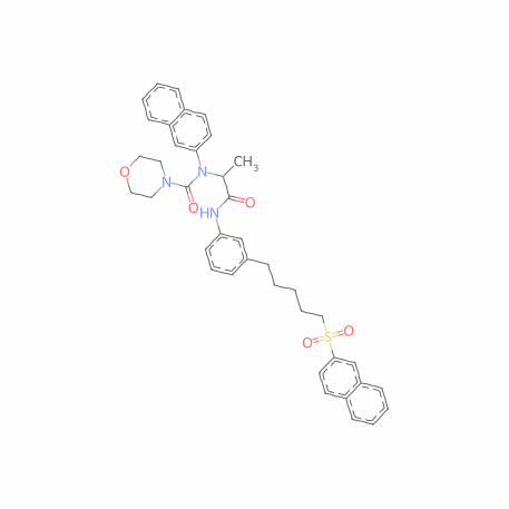 CC(C(=O)Nc1cccc(CCCCCS(=O)(=O)c2ccc3ccccc3c2)c1)N(C(=O)N1CCOCC1)c1ccc2ccccc2c1